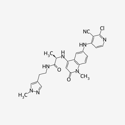 C[C@@H](Nc1cc(=O)n(C)c2ccc(Nc3ccnc(Cl)c3C#N)cc12)C(=O)NCCc1cnn(C)c1